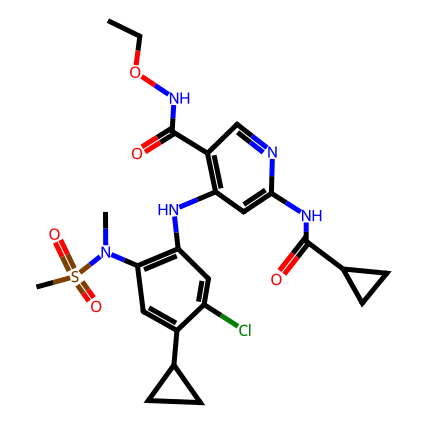 CCONC(=O)c1cnc(NC(=O)C2CC2)cc1Nc1cc(Cl)c(C2CC2)cc1N(C)S(C)(=O)=O